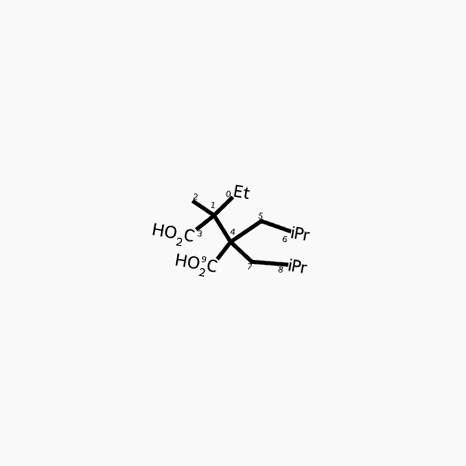 CCC(C)(C(=O)O)C(CC(C)C)(CC(C)C)C(=O)O